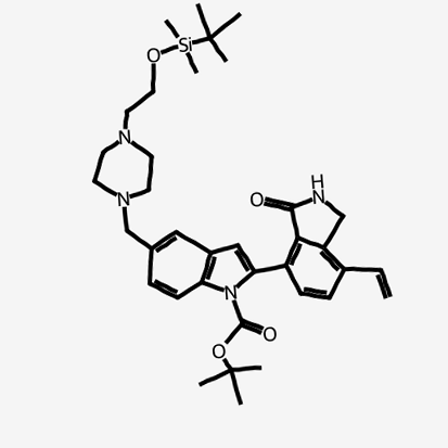 C=Cc1ccc(-c2cc3cc(CN4CCN(CCO[Si](C)(C)C(C)(C)C)CC4)ccc3n2C(=O)OC(C)(C)C)c2c1CNC2=O